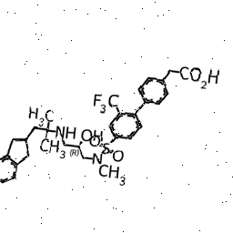 CN(C[C@H](O)CNC(C)(C)CC1Cc2ccccc2C1)S(=O)(=O)c1ccc(-c2ccc(CC(=O)O)cc2)c(C(F)(F)F)c1